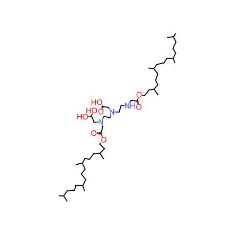 CC(C)CCCC(C)CCCC(C)CCCC(C)CCOC(=O)CNCCN(CCN(CC(=O)OCCC(C)CCCC(C)CCCC(C)CCCC(C)C)CC(O)O)CC(=O)O